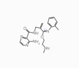 C=C(CNC(=O)c1nccnc1N)/C(=N\c1ccccc1C)OCCNC